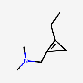 CCC1=C(CN(C)C)C1